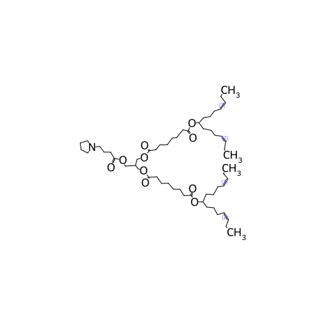 CC/C=C\CCCC(CCC/C=C\CC)OC(=O)CCCCCCC(=O)OCC(COC(=O)CCCCCCC(=O)OC(CCC/C=C\CC)CCC/C=C\CC)COC(=O)CCCN1CCCC1